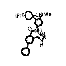 COc1ccc(NC(=O)c2ccc(-c3ccccc3)cc2-c2nnn[nH]2)cc1C1(C#N)CCN(C(C)C)CC1